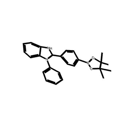 CC1(C)OB(c2ccc(C3Nc4ccccc4N3c3ccccc3)cc2)OC1(C)C